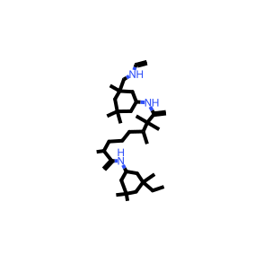 C=CNCC1(C)CC(NC(=C)C(C)(C)C(C)CCCC(C)C(=C)NC2CC(C)(C)CC(C)(CC)C2)CC(C)(C)C1